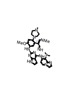 CN/C=C(\C=N)c1cc(Nc2nc(Nc3ccn4ccnc4c3P(C)C)c3cc[nH]c3n2)c(OC)cc1N1CCN(C)CC1